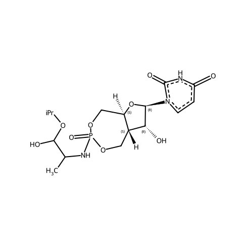 CC(C)OC(O)C(C)NP1(=O)OC[C@H]2[C@@H](O)[C@H](n3ccc(=O)[nH]c3=O)O[C@@H]2CO1